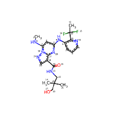 CNc1cc(Nc2cccnc2C(C)(F)F)nc2c(C(=O)NCC(C)(C)CO)cnn12